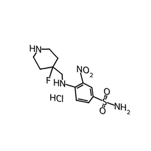 Cl.NS(=O)(=O)c1ccc(NCC2(F)CCNCC2)c([N+](=O)[O-])c1